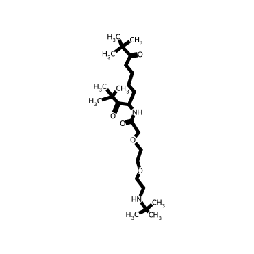 CC(C)(C)NCCOCCOCC(=O)NC(CCCCC(=O)C(C)(C)C)C(=O)C(C)(C)C